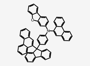 c1ccc2c(c1)-c1ccccc1C2(c1ccc(N(c2ccc3c(c2)oc2ccccc23)c2cc3ccccc3c3ccccc23)cc1)c1cc2ccccc2c2ccccc12